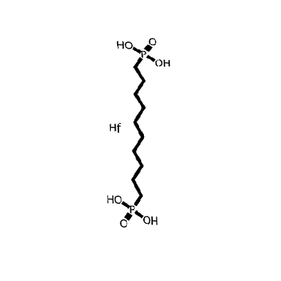 O=P(O)(O)CCCCCCCCCCP(=O)(O)O.[Hf]